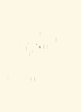 C.C.C.C.FCF.O=P(O)(O)O.O=P(O)(O)O